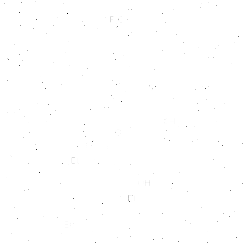 CCc1cc(CC)c(C2=C(O)CC(C(C)CSc3ccc(C(F)(F)F)cc3)OC2=O)c(CC)c1